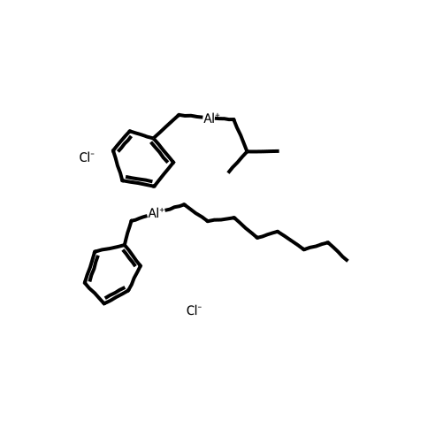 CC(C)[CH2][Al+][CH2]c1ccccc1.CCCCCCC[CH2][Al+][CH2]c1ccccc1.[Cl-].[Cl-]